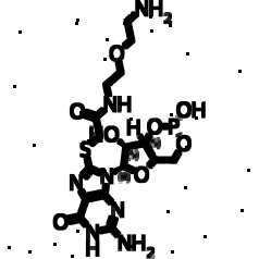 NCCOCCNC(=O)CSc1nc2c(=O)[nH]c(N)nc2n1[C@@H]1OC2COP(O)O[C@H]2[C@@H]1O